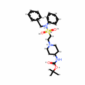 CC(C)(C)OC(=O)NC1CCN(CCS(=O)(=O)N(Cc2ccccc2)c2ccccc2)CC1